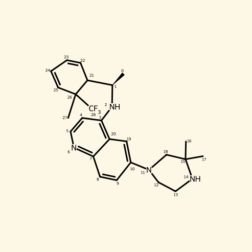 C[C@@H](Nc1ccnc2ccc(N3CCNC(C)(C)C3)cc12)C1C=CC=CC1(C)C(F)(F)F